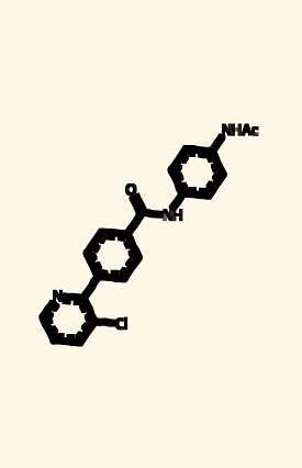 CC(=O)Nc1ccc(NC(=O)c2ccc(-c3ncccc3Cl)cc2)cc1